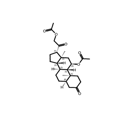 CC(=O)OCC(=O)[C@H]1CC[C@H]2[C@@H]3CC[C@@H]4CC(=O)CC[C@]4(C)[C@H]3[C@H](OC(C)=O)C[C@]12C